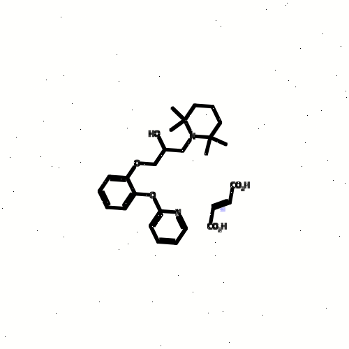 CC1(C)CCCC(C)(C)N1CC(O)COc1ccccc1Oc1ccccn1.O=C(O)/C=C/C(=O)O